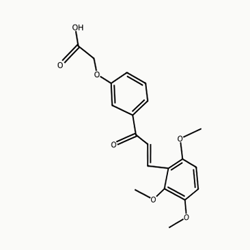 COc1ccc(OC)c(OC)c1C=CC(=O)c1cccc(OCC(=O)O)c1